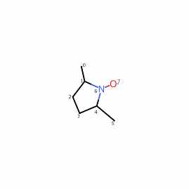 CC1CCC(C)N1[O]